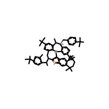 Cc1cc(C(C)(C)C)ccc1C(C)C1Cc2cc(C(C)(C)C)cc3c2B(c2cc(C(C)(C)C)ccc2[C@H](Cc2ccc(C(C)(C)C)cc2)C3C)c2c1sc1cc3c(cc21)C(C)(C)CCC3(C)C